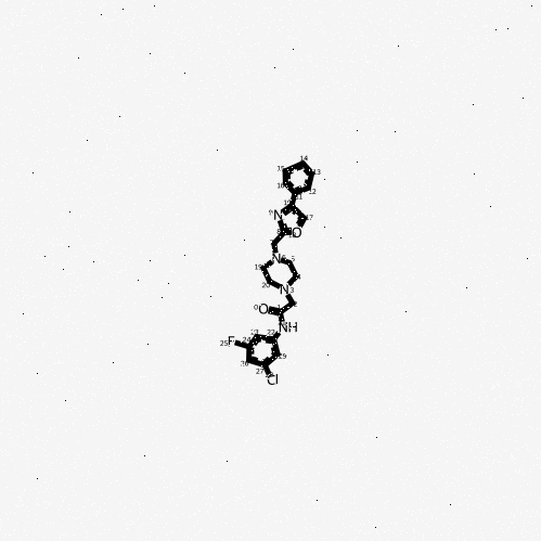 O=C(CN1CCN(Cc2nc(-c3ccccc3)co2)CC1)Nc1cc(F)cc(Cl)c1